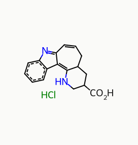 Cl.O=C(O)C1CNC2=C3C(=Nc4ccccc43)C=CCC2C1